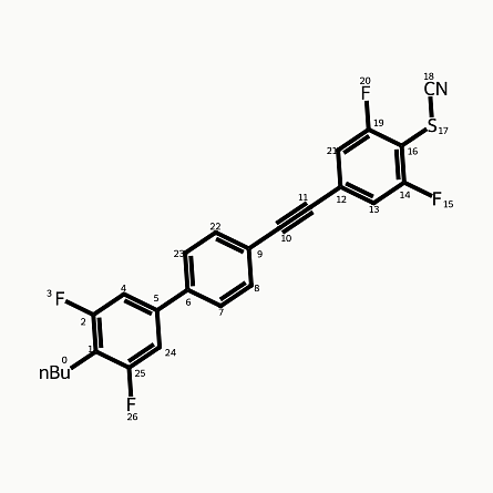 CCCCc1c(F)cc(-c2ccc(C#Cc3cc(F)c(SC#N)c(F)c3)cc2)cc1F